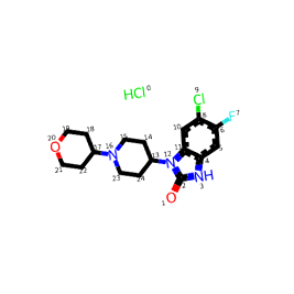 Cl.O=c1[nH]c2cc(F)c(Cl)cc2n1C1CCN(C2CCOCC2)CC1